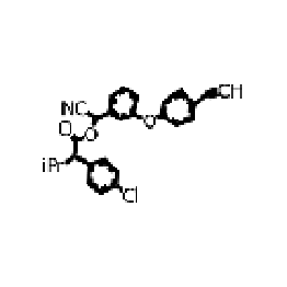 C#Cc1ccc(Oc2cccc(C(C#N)OC(=O)C(c3ccc(Cl)cc3)C(C)C)c2)cc1